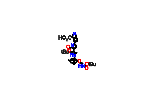 Cc1c(-c2ccc(-c3ccc4cncc(C(=O)O)c4c3)nc2C(=O)OC(C)(C)C)cnn1CC12CC3(C)CC(C)(C1)CC(OCCNC(=O)OC(C)(C)C)(C3)C2